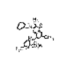 Cc1cc(C(C)Nc2ccc(C(F)(F)F)nc2C(=O)O)c2nc(N3Cc4ccccc4C3)c(C)c(=O)n2c1